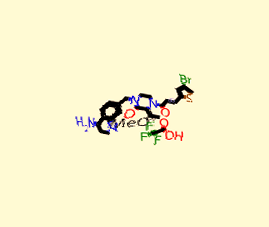 CO[C@@H](C)C1C(=O)N(Cc2ccc3c(N)ccnc3c2)CCN1C(=O)/C=C/c1cc(Br)cs1.O=C(O)C(F)(F)F